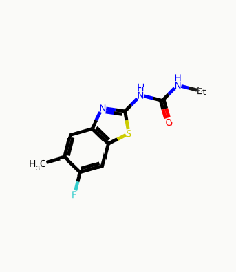 CCNC(=O)Nc1nc2cc(C)c(F)cc2s1